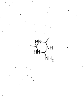 CC1NC(C)NC(N)N1